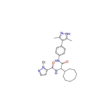 CCn1nccc1C(=O)NC(C(=O)Nc1ccc(-c2c(C)n[nH]c2C)cc1)C1CCCCCCC1